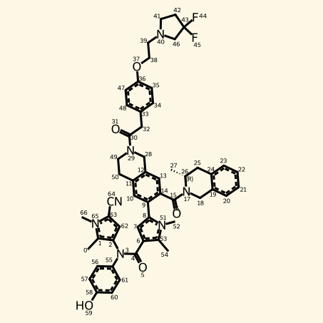 Cc1c(N(C(=O)c2cc(-c3cc4c(cc3C(=O)N3Cc5ccccc5C[C@H]3C)CN(C(=O)Cc3ccc(OCCN5CCC(F)(F)C5)cc3)CC4)n(C)c2C)c2ccc(O)cc2)cc(C#N)n1C